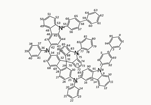 c1ccc(-c2ccc(-n3c4ccccc4c4cc(N(c5ccccc5)c5ccc6c(c5)C5(c7cc(N(c8ccccc8)c8ccc9c(c8)c8ccccc8n9-c8ccc(-c9ccccc9)cc8)ccc7-6)c6ccccc6N(c6ccccc6)c6ccccc65)ccc43)cc2)cc1